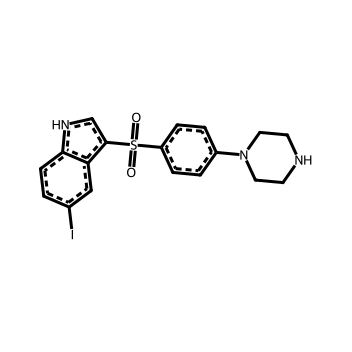 O=S(=O)(c1ccc(N2CCNCC2)cc1)c1c[nH]c2ccc(I)cc12